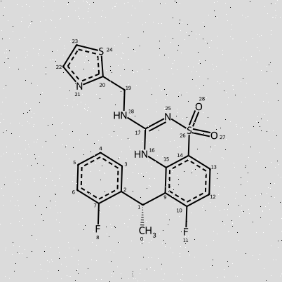 C[C@H](c1ccccc1F)c1c(F)ccc2c1NC(NCc1nccs1)=NS2(=O)=O